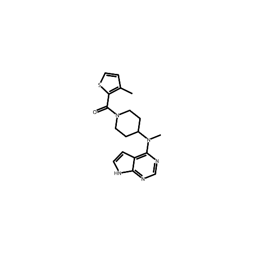 Cc1ccsc1C(=O)N1CCC(N(C)c2ncnc3[nH]ccc23)CC1